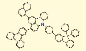 c1ccc(C2(c3ccccc3)c3ccccc3-c3ccc(-c4ccc(N(c5ccc(-c6ccc7c8ccccc8c8ccccc8c7c6)cc5)c5ccccc5-c5cccc(-c6cccc7ccccc67)c5)cc4)cc32)cc1